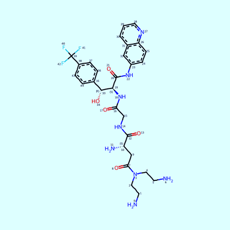 NCCN(CCN)C(=O)C[C@H](N)C(=O)NCC(=O)N[C@H](C(=O)Nc1ccc2ncccc2c1)[C@H](O)c1ccc(C(F)(F)F)cc1